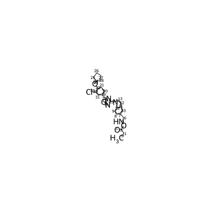 CCC(=O)ONCc1ccc2c(ccn2-c2noc(-c3ccc(OC4CCCC4)c(Cl)c3)n2)c1